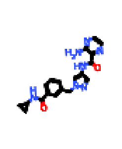 Nc1nccnc1C(=O)Nc1cnn(Cc2cccc(C(=O)NC3CC3)c2)c1